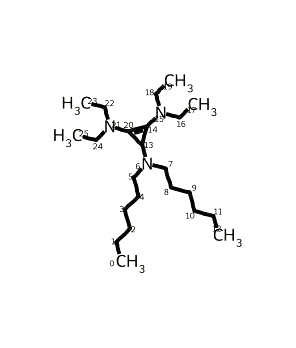 CCCCCCN(CCCCCC)C1C(N(CC)CC)=C1N(CC)CC